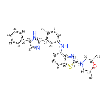 Cc1ccc(Nc2cccc3sc(N4CC(C)OC(C)C4)nc23)cc1-c1ncc(-c2ccccc2)[nH]1